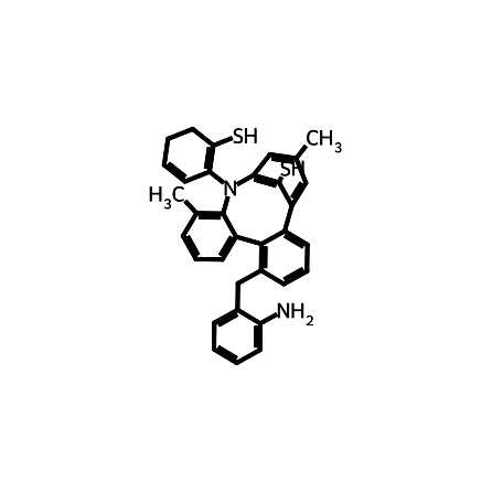 Cc1cc2c(S)c(c1)N(C1=C(S)CCC=C1)c1c(C)cccc1-c1c(Cc3ccccc3N)cccc1-2